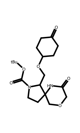 CC(C)(C)OC(=O)N1CCC2(COCC(=O)N2)C1COC1CCC(=O)CC1